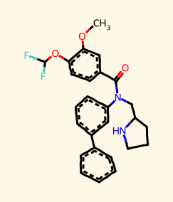 COc1cc(C(=O)N(CC2CCCN2)c2cccc(-c3ccccc3)c2)ccc1OC(F)F